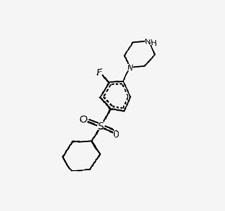 O=S(=O)(c1ccc(N2CCNCC2)c(F)c1)C1CCCCC1